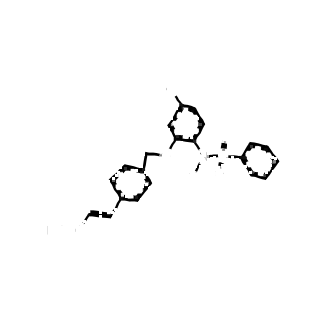 CCCN(c1ccc(C)cc1OCc1ccc(C=CC(=O)O)cc1)S(=O)(=O)c1ccccc1